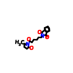 C[C@@H]1CCC(=O)N1C(=O)CCCCCN1C(=O)c2ccccc2C1=O